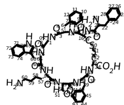 C[C@@H]1NC(=O)[C@H](Cc2ccccc2)NC(=O)[C@@H](NC(=O)[C@@H](N)Cc2ccccc2)CSSC[C@@H](C(=O)O)NC(=O)[C@H](Cc2ccccc2)NC(=O)[C@H]([C@@H](C)O)NC(=O)[C@H](CCCCN)NC(=O)[C@H](Cc2c[nH]c3ccccc23)NC1=O